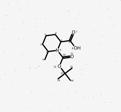 CC1CCCC(C(=O)O)N1C(=O)OC(C)(C)C